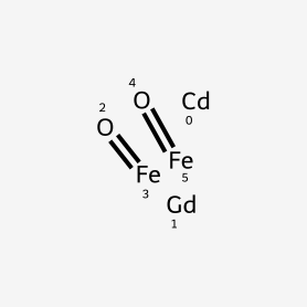 [Cd].[Gd].[O]=[Fe].[O]=[Fe]